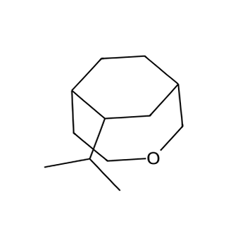 CC(C)C1CC2CCC1CCOC2